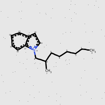 CCCCCCC(C)Cn1ccc2ccccc21